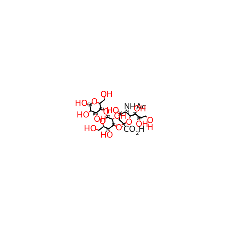 CC(=O)N[C@H]1C([C@H](O)[C@H](O)CO)O[C@@](O[C@@H]2C(O)[C@H](O[C@@H]3C(CO)O[C@@H](O)C(O)[C@H]3O)OC(CO)[C@@H]2O)(C(=O)O)C[C@H]1O